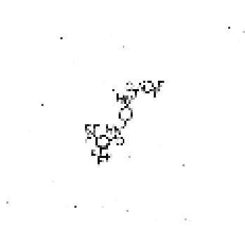 O=C(NCC1CCC(NCC(=O)N2CCC(F)(F)C2)CC1)c1cc(C(F)(F)F)cc(C(F)(F)F)c1